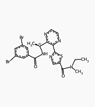 CCN(C)C(=O)c1cnc(-c2nccnc2[C@H](C)NC(=O)c2cc(Br)cc(Br)c2)s1